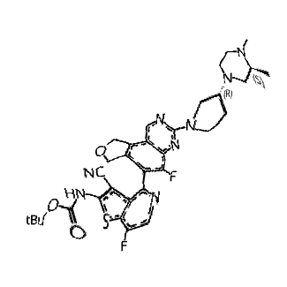 C[C@H]1CN([C@@H]2CCN(c3ncc4c5c(c(-c6ncc(F)c7sc(NC(=O)OC(C)(C)C)c(C#N)c67)c(F)c4n3)COC5)C2)CCN1C